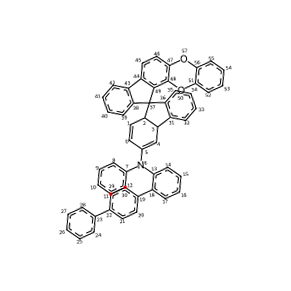 C1=CC2C(C=C1N(c1ccccc1)c1ccccc1-c1ccc(-c3ccccc3)cc1)c1ccccc1C21c2ccccc2-c2ccc3c(c21)Oc1ccccc1O3